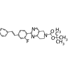 CC(C)(C)OC(=O)N1CCc2nc(-c3ccc(C=Cc4ccccc4)cc3F)ncc2C1